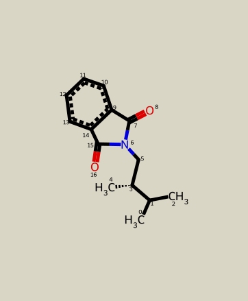 CC(C)[C@H](C)CN1C(=O)c2ccccc2C1=O